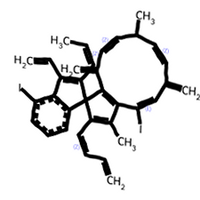 C=C/C=C\C1=C(C)C2=C(C(=C)/C=C\C(C)/C=C\C(=C)/C=C\2I)C12C(/C=C\C)=C(C=C)c1c(I)cccc12